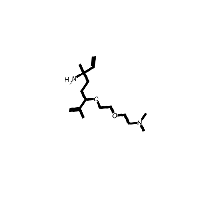 C=CC(C)(N)CCC(OCCOCCN(C)C)C(=C)C